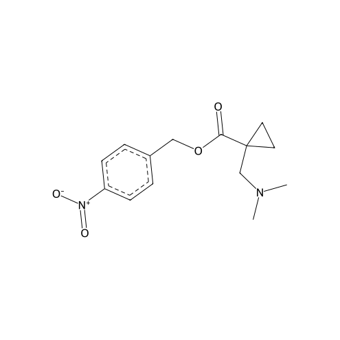 CN(C)CC1(C(=O)OCc2ccc([N+](=O)[O-])cc2)CC1